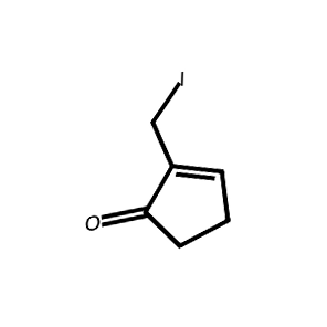 O=C1CCC=C1CI